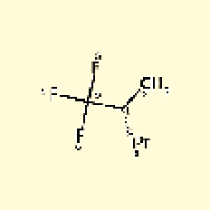 CC(C)[C@@H](C)C(F)(F)F